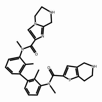 Cc1c(-c2cccc(N(C)C(=O)c3cc4c(s3)CCNC4)c2C)cccc1N(C)C(=O)c1cn2c(n1)CNCC2